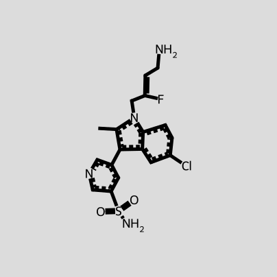 Cc1c(-c2cncc(S(N)(=O)=O)c2)c2cc(Cl)ccc2n1CC(F)=CCN